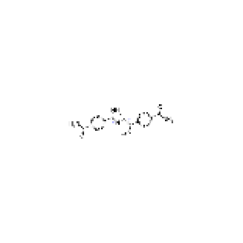 C=N/C(=N\N=C(/N)c1ccc(C(N)=O)cc1)c1ccc(C(N)=O)cc1